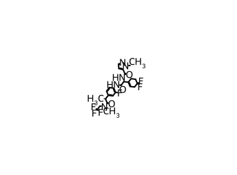 CCn1nccc1C(=O)N[C@H](C(=O)Nc1ccc([C@H](C)C(=O)N(C)CC(F)(F)F)cc1F)C1=CCC(F)(F)CC1